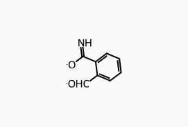 N=C([O])c1ccccc1[C]=O